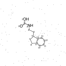 O=C(O)NCCC1CCc2ccccc21